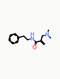 C=C(CN(C)C)C(=O)NCCc1ccccc1